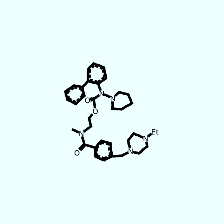 CCN1CCN(Cc2ccc(C(=O)N(C)CCOC(=O)N(c3ccccc3-c3ccccc3)N3CC[CH]CC3)cc2)CC1